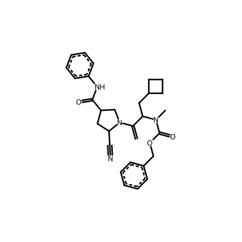 C=C(C(CC1CCC1)N(C)C(=O)OCc1ccccc1)N1CC(C(=O)Nc2ccccc2)CC1C#N